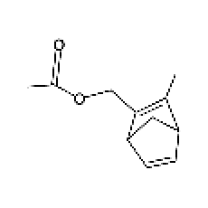 CC(=O)OCC1=C(C)C2C=CC1C2